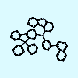 c1ccc(C2(c3ccccc3)c3ccccc3-c3ccc(N(c4cccc(-c5cccc6ccccc56)c4)c4cccc5sc6ccccc6c45)cc32)cc1